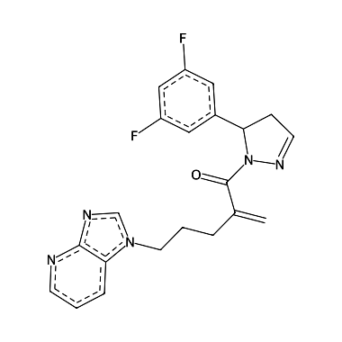 C=C(CCCn1cnc2ncccc21)C(=O)N1N=CCC1c1cc(F)cc(F)c1